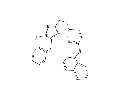 Cn1nc2c(c1Cc1ccccc1)-c1nc(Nc3cccc4ccccc34)ncc1CC2